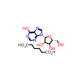 O=C(O)CCCCC(=O)O.OC[C@H]1O[C@@H](n2cnc3c(O)ncnc32)[C@H](O)[C@@H]1O